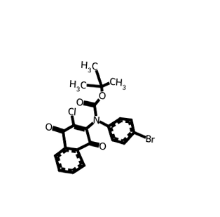 CC(C)(C)OC(=O)N(C1=C(Cl)C(=O)c2ccccc2C1=O)c1ccc(Br)cc1